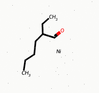 CCCCC(C=O)CC.[Ni]